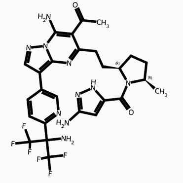 CC(=O)c1c(CC[C@H]2CC[C@@H](C)N2C(=O)c2cc(N)n[nH]2)nc2c(-c3ccc(C(N)(C(F)(F)F)C(F)(F)F)nc3)cnn2c1N